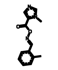 Cc1ccccc1C=NOC(=O)c1cncn1C